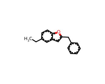 CCc1ccc2oc(Cc3ccccc3)cc2c1